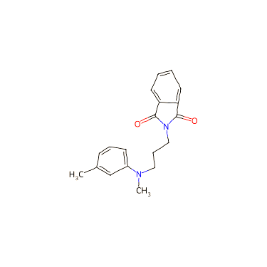 Cc1cccc(N(C)CCCN2C(=O)c3ccccc3C2=O)c1